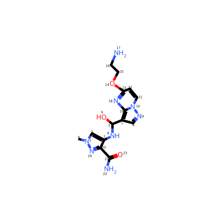 Cn1cc(NC(O)c2cnn3ccc(OCCN)nc23)c(C(N)=O)n1